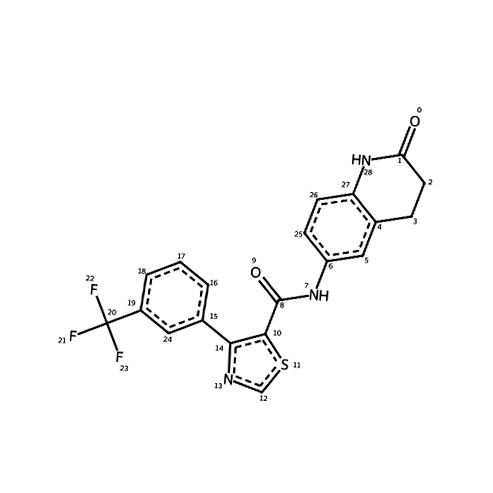 O=C1CCc2cc(NC(=O)c3scnc3-c3cccc(C(F)(F)F)c3)ccc2N1